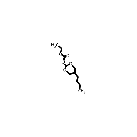 CCCCC1COC(OC(=O)OCC)OC1